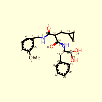 COc1cccc(CNC(=O)C(CC2CC2)C(=O)N[C@@H](Cc2ccccc2)B(O)O)c1